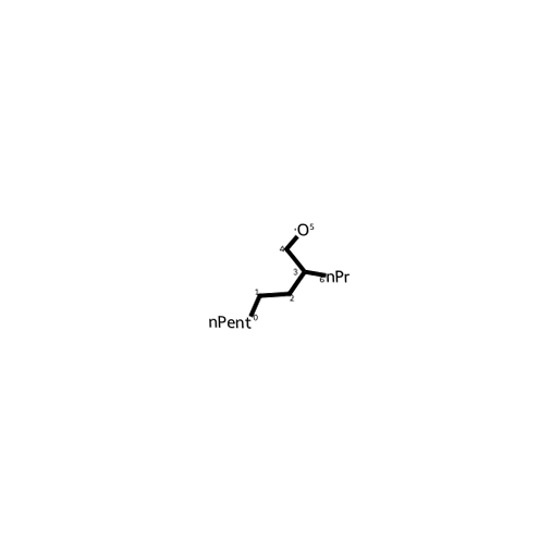 CCCCCCCC(C[O])CCC